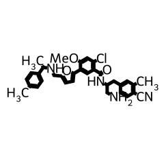 COc1cc(Cl)c(C(=O)NC(CN)Cc2ccc(C#N)c(C)c2)cc1-c1ccc(CNC(C)c2ccc(C)cc2)o1